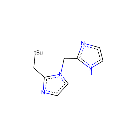 CC(C)(C)Cc1nccn1Cc1ncc[nH]1